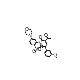 COc1cccc(-c2cc(C(C)=O)c(=O)n(-c3cc(N4CCOCC4)ccc3[N+](=O)[O-])n2)c1